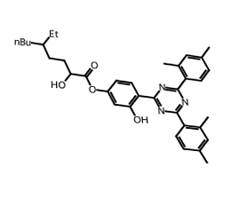 CCCCC(CC)CCC(O)C(=O)Oc1ccc(-c2nc(-c3ccc(C)cc3C)nc(-c3ccc(C)cc3C)n2)c(O)c1